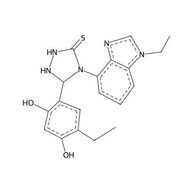 CCc1cc(C2NNC(=S)N2c2cccc3c2ncn3CC)c(O)cc1O